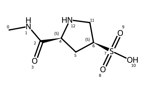 CNC(=O)[C@@H]1C[C@H](S(=O)(=O)O)CN1